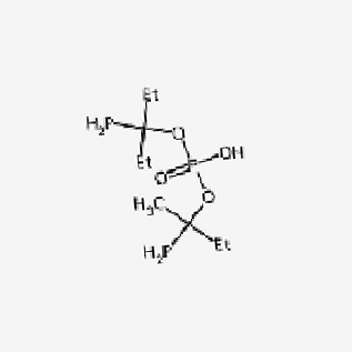 CCC(C)(P)OP(=O)(O)OC(P)(CC)CC